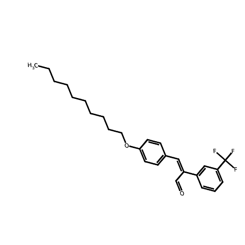 CCCCCCCCCCOc1ccc(/C=C(\C=O)c2cccc(C(F)(F)F)c2)cc1